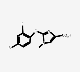 Cn1cc(C(=O)O)nc1Oc1ccc(Br)cc1F